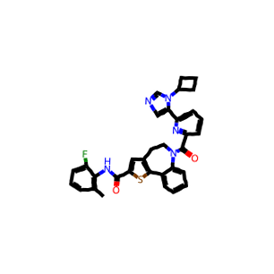 Cc1cccc(F)c1NC(=O)c1cc2c(s1)-c1ccccc1N(C(=O)c1cccc(-c3cncn3C3CCC3)n1)CC2